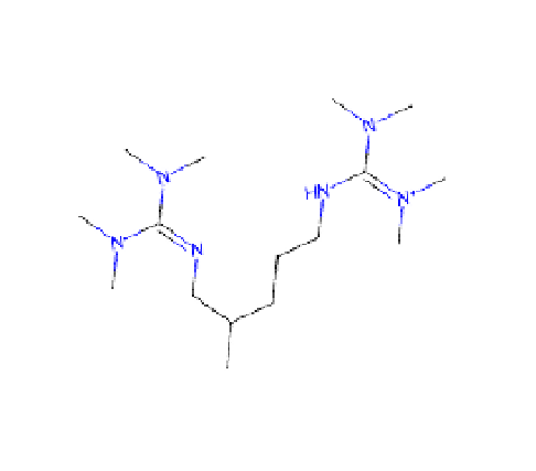 CC(CCCNC(N(C)C)=[N+](C)C)CN=C(N(C)C)N(C)C